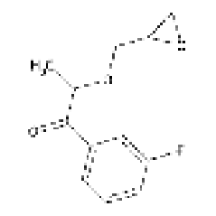 CC(OCC1CO1)C(=O)c1cccc(F)c1